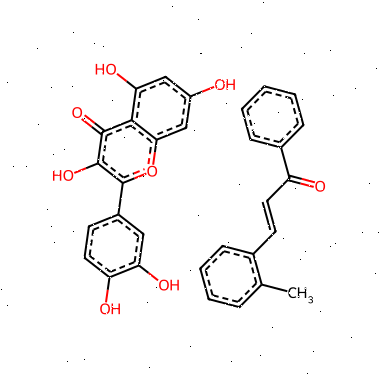 Cc1ccccc1C=CC(=O)c1ccccc1.O=c1c(O)c(-c2ccc(O)c(O)c2)oc2cc(O)cc(O)c12